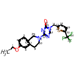 CCOc1ccc2c(c1)CCN(c1ncn(Cc3ccc(C(F)(F)F)s3)c(=O)n1)C2